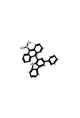 OB(O)c1c2ccccc2c(-c2cc(-c3ccccc3)cc3c2[nH]c2ccccc23)c2ccccc12